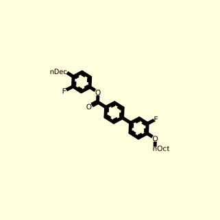 CCCCCCCCCCc1ccc(OC(=O)c2ccc(-c3ccc(OCCCCCCCC)c(F)c3)cc2)cc1F